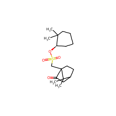 CC1(C)CCCC[C@H]1OS(=O)(=O)CC12CCC(CC1=O)C2(C)C